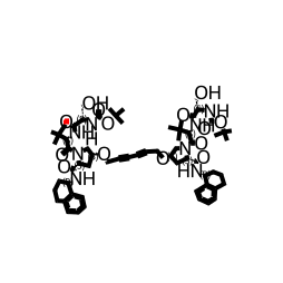 CC(C)(C)OC(=O)N[C@@H](CO)C(=O)N[C@H](C(=O)N1C[C@@H](OCC#CC#CCO[C@H]2C[C@@H](C(=O)N[C@@H]3CCCc4ccccc43)N(C(=O)[C@@H](NC(=O)[C@H](CO)NC(=O)OC(C)(C)C)C(C)(C)C)C2)C[C@H]1C(=O)N[C@@H]1CCCc2ccccc21)C(C)(C)C